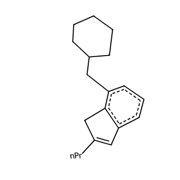 CCCC1=Cc2cccc(CC3CCCCC3)c2C1